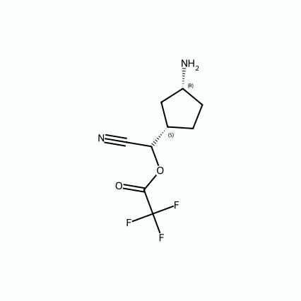 N#CC(OC(=O)C(F)(F)F)[C@H]1CC[C@@H](N)C1